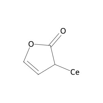 O=C1OC=C[CH]1[Ce]